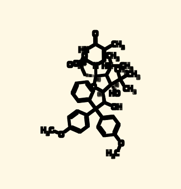 COc1ccc(C(c2ccccc2)(c2ccc(OC)cc2)C(O)[C@H]2O[C@@](C[N+](=O)[O-])(n3cc(C)c(=O)[nH]c3=O)C([SiH](C)C)[C@@]2(O)C(C)(C)C)cc1